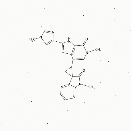 CN1C(=O)C2(CC2c2cn(C)c(=O)c3[nH]c(-c4cn(C)cn4)cc23)c2ccccc21